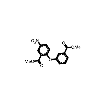 COC(=O)c1cccc(Oc2ccc([N+](=O)[O-])cc2C(=O)OC)c1